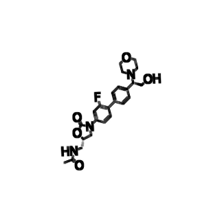 CC(=O)NC[C@H]1CN(c2ccc(-c3ccc([C@H](CO)N4CCOCC4)cc3)c(F)c2)C(=O)O1